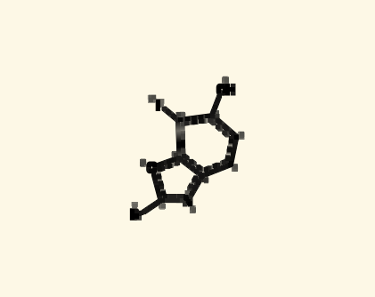 Oc1ccc2nc(Br)oc2c1F